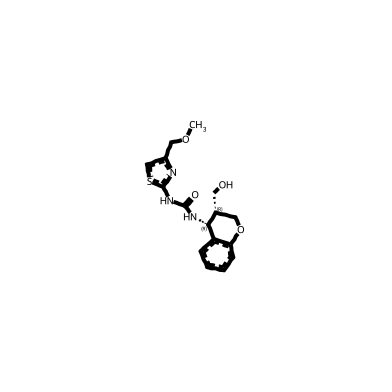 COCc1csc(NC(=O)N[C@H]2c3ccccc3OC[C@H]2CO)n1